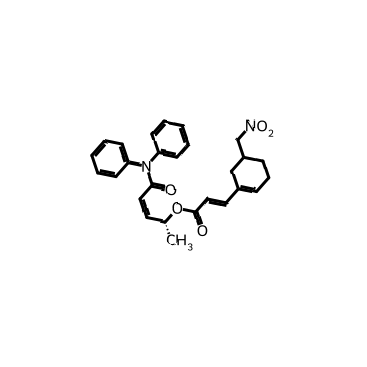 C[C@H](/C=C\C(=O)N(c1ccccc1)c1ccccc1)OC(=O)/C=C/C1=CCCC(C[N+](=O)[O-])C1